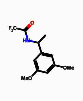 COc1cc(OC)cc(C(C)NC(=O)C(F)(F)F)c1